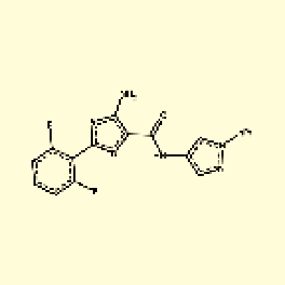 CCCn1cc(NC(=O)c2nc(-c3c(F)cccc3F)sc2N)cn1